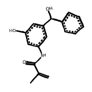 C=C(C)C(=O)Nc1cc(O)cc(C(O)c2ccccc2)c1